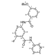 CC(C)COc1cccc(C(=O)Nc2ccc(F)c(C(=O)Nc3cccnc3)c2)c1